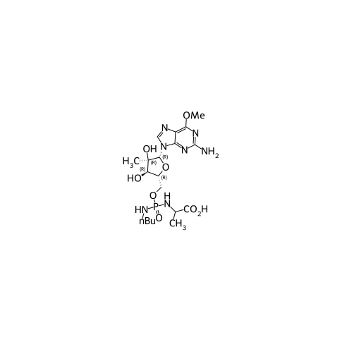 CCCCNP(=O)(NC(C)C(=O)O)OC[C@H]1O[C@@H](n2cnc3c(OC)nc(N)nc32)[C@](C)(O)[C@@H]1O